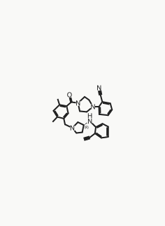 C#Cc1ccccc1N[C@@H]1CCN(Cc2cc(C(=O)N3CCN(c4ccccc4C#N)CC3)c(C)cc2C)C1